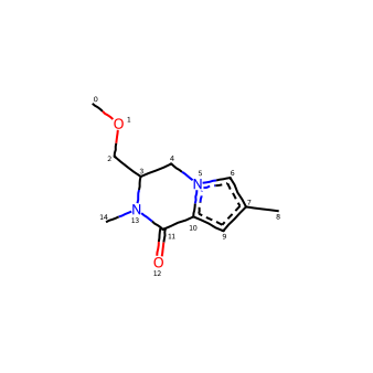 COCC1Cn2cc(C)cc2C(=O)N1C